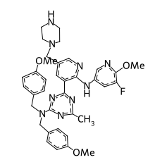 COc1ccc(CN(Cc2ccc(OC)cc2)c2nc(C)nc(-c3cc(CN4CCNCC4)cnc3Nc3cnc(OC)c(F)c3)n2)cc1